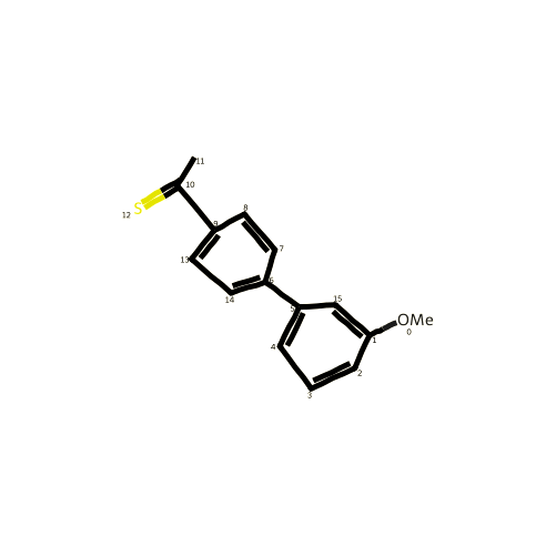 COc1cccc(-c2ccc(C(C)=S)cc2)c1